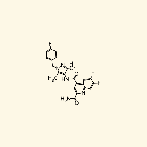 Cc1nn(Cc2ccc(F)cc2)c(C)c1NC(=O)c1cc(C(N)=O)nc2cc(F)c(F)cc12